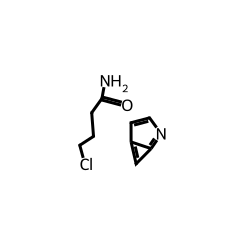 NC(=O)CCCCl.c1cc2cc-2n1